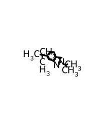 CC(C)n1cc2ccc(C(C)(C)C)cc2n1